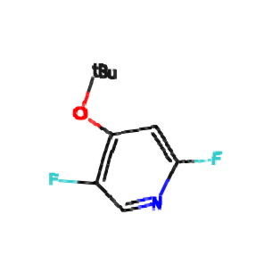 CC(C)(C)Oc1cc(F)ncc1F